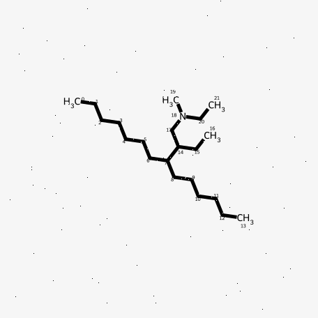 CCCCCCCC(CCCCCC)C(CC)CN(C)CC